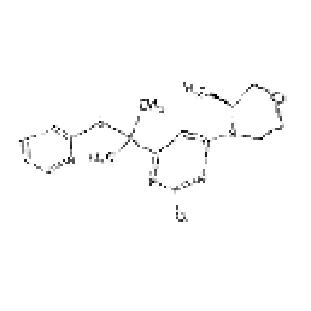 C[C@H]1COCCN1c1cc(C(C)(C)Sc2ccccn2)nc(Cl)n1